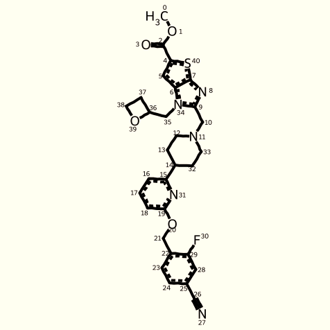 COC(=O)c1cc2c(nc(CN3CCC(c4cccc(OCc5ccc(C#N)cc5F)n4)CC3)n2CC2CCO2)s1